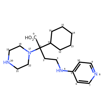 O=C(O)C(CCNc1ccncc1)(C1CCCCC1)N1CCNCC1